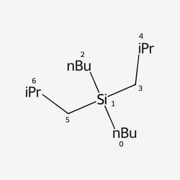 CCCC[Si](CCCC)(CC(C)C)CC(C)C